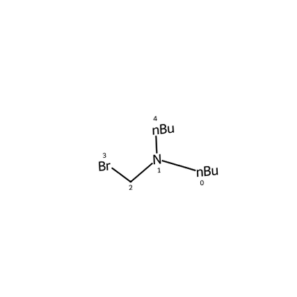 CCCCN(CBr)CCCC